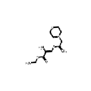 C=C(CN1CCOCC1)S/C=C(\N)C(=O)OCC